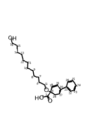 O=C(O)C1(OCCCCCCCCCCCCO)C=CC(c2ccccc2)=CC1